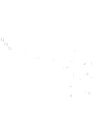 CC1[C@H](C)C(COCc2ccccc2)O[C@H](O[C@@H]2C(C)[C@H](C)C(COCc3ccccc3)O[C@@H]2OCCOCCOCCOCCN=[N+]=[N-])[C@@H]1OCc1ccccc1